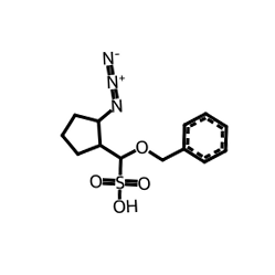 [N-]=[N+]=NC1CCCC1C(OCc1ccccc1)S(=O)(=O)O